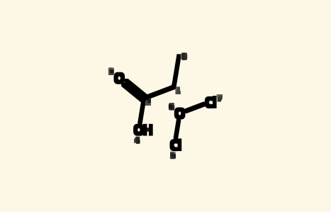 CCC(=O)O.ClOCl